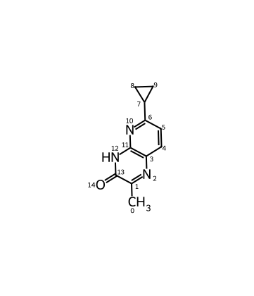 Cc1nc2ccc(C3CC3)nc2[nH]c1=O